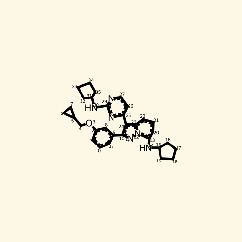 c1cc(OCC2CC2)cc(-c2nn3c(NC4CCCC4)cccc3c2-c2ccnc(NC3CCCC3)n2)c1